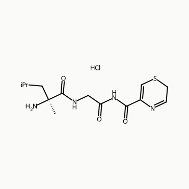 CC(C)C[C@](C)(N)C(=O)NCC(=O)NC(=O)C1=CSCC=N1.Cl